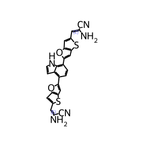 N#C/C(N)=C/c1cc2oc(-c3ccc(-c4cc5sc(/C=C(/N)C#N)cc5o4)c4cc[nH]c34)cc2s1